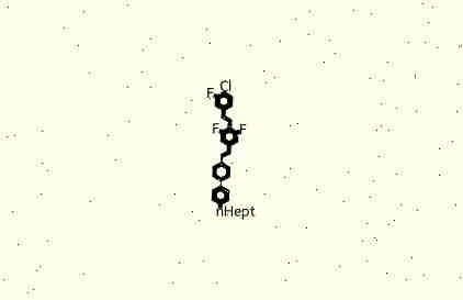 CCCCCCCc1ccc([C@H]2CC[C@H](CCc3cc(F)c(CCc4ccc(Cl)c(F)c4)c(F)c3)CC2)cc1